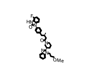 COCCCn1c([C@@H]2CCCN(C(=O)C[C@H](C)Cc3ccc(-n4c(=O)[nH]c5c(F)cccc54)cc3)C2)nc2ccccc21